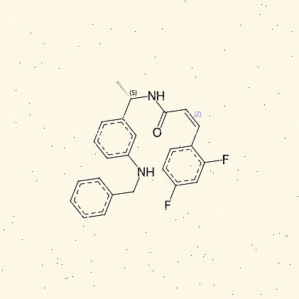 C[C@H](NC(=O)/C=C\c1ccc(F)cc1F)c1cccc(NCc2ccccc2)c1